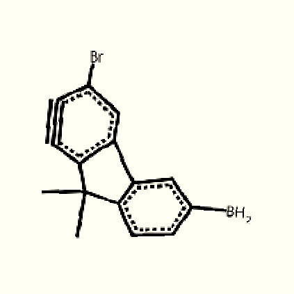 Bc1ccc2c(c1)-c1cc(Br)c#cc1C2(C)C